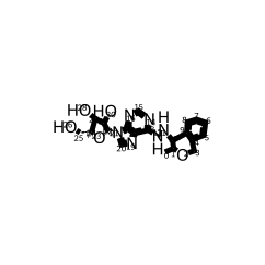 CC1OCc2ccccc2C1NNc1ncnc2c1ncn2[C@@H]1O[C@H](CO)C(O)C1O